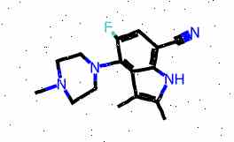 Cc1[nH]c2c(C#N)cc(F)c(N3CCN(C)CC3)c2c1C